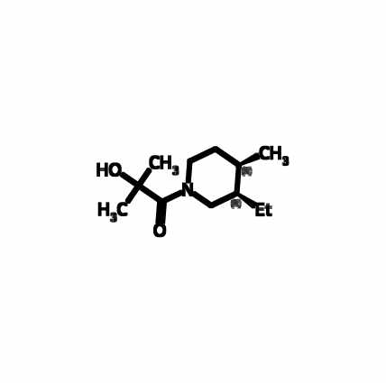 CC[C@H]1CN(C(=O)C(C)(C)O)CC[C@H]1C